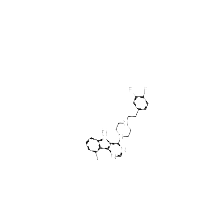 Cc1cccc2[nH]c3c(N4CCN(CCc5ccc(F)c(F)c5)CC4)ncnc3c12